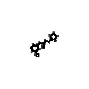 Clc1cccc(CNCCN2CCCC2)c1